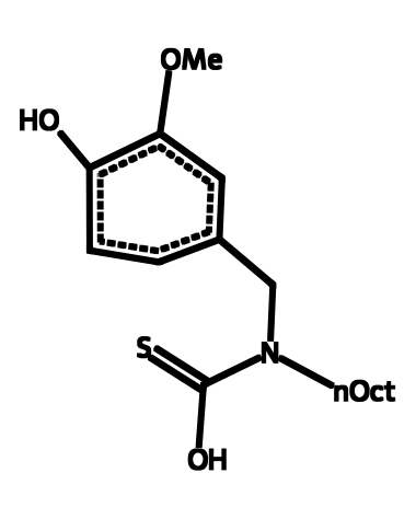 CCCCCCCCN(Cc1ccc(O)c(OC)c1)C(O)=S